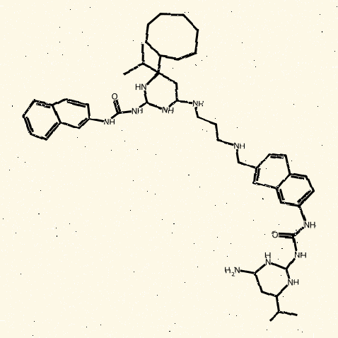 CC(C)C1CC(N)NC(NC(=O)Nc2ccc3ccc(CNCCCNC4CC(C(C)C)(C5CCCCCCC5)NC(NC(=O)Nc5ccc6ccccc6c5)N4)cc3c2)N1